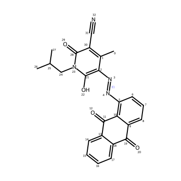 Cc1c(/N=N/c2cccc3c2C(=O)c2ccccc2C3=O)c(O)n(CC(C)C)c(=O)c1C#N